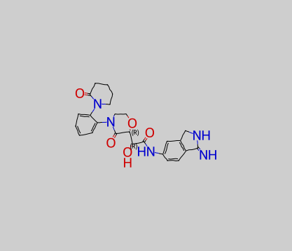 N=C1NCc2cc(NC(=O)[C@H](O)[C@H]3OCCN(c4ccccc4N4CCCCC4=O)C3=O)ccc21